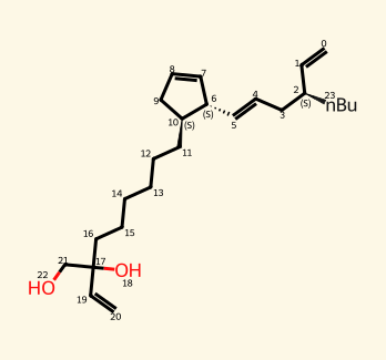 C=C[C@H](CC=C[C@H]1C=CC[C@@H]1CCCCCCC(O)(C=C)CO)CCCC